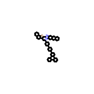 c1ccc2cc3cc4c(cc3cc2c1)nc1c2sc3c5ccccc5ccc3c2cc(-c2ccc(-c3ccc(-c5ccc6c7ccccc7c7ccccc7c6c5)cc3)cc2)n41